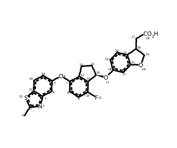 Cc1nc2cc(Oc3ccc(F)c4c3CC[C@H]4Oc3ccc4c(c3)OCC4CC(=O)O)ccc2s1